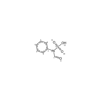 O=CN(c1ccccc1)S(=O)(=O)O